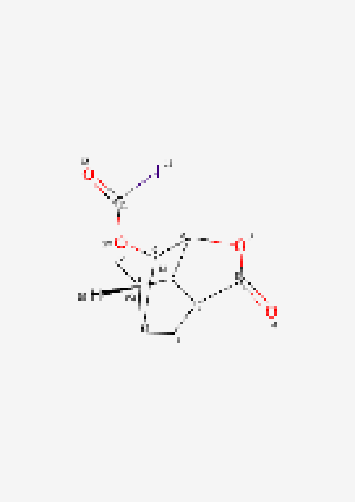 C[C@H]1C2CC3C(=O)OC(C2OC(=O)I)C31